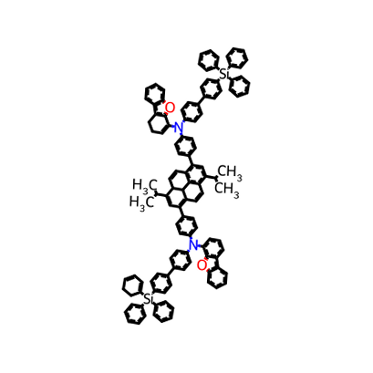 CC(C)C1=CC(c2ccc(N(c3ccc(-c4ccc([Si](C5=CC=CCC5)(c5ccccc5)c5ccccc5)cc4)cc3)c3cccc4c3oc3ccccc34)cc2)=C2C=Cc3c(C(C)C)cc(-c4ccc(N(C5=CCCc6c5oc5ccccc65)c5ccc(-c6ccc([Si](c7ccccc7)(c7ccccc7)c7ccccc7)cc6)cc5)cc4)c4c3C2C1C=C4